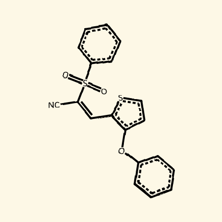 N#CC(=Cc1sccc1Oc1ccccc1)S(=O)(=O)c1ccccc1